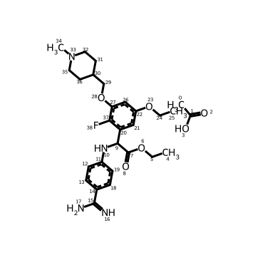 CC(=O)O.CCOC(=O)C(Nc1ccc(C(=N)N)cc1)c1cc(OCC)cc(OCC2CCN(C)CC2)c1F